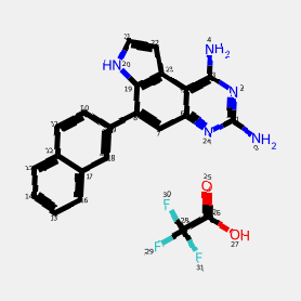 Nc1nc(N)c2c(cc(-c3ccc4ccccc4c3)c3[nH]ccc32)n1.O=C(O)C(F)(F)F